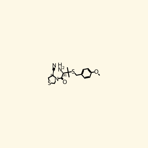 COc1ccc(CSC(C)(C)[C@H](N)C(=O)N2CSC[C@H]2C#N)cc1